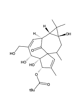 CC1=CC23C(=O)[C@@H](C=C(CO)[C@@H](O)[C@]2(O)[C@H]1OC(=O)C(C)(C)C)[C@@H]1C(C)(C)[C@]1(O)CC3C